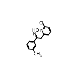 Cc1cccc(/C(Cc2cccc(Cl)n2)=N/O)c1